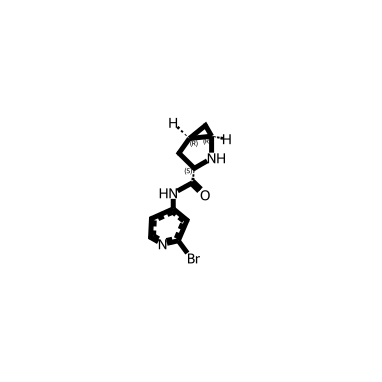 O=C(Nc1ccnc(Br)c1)[C@@H]1C[C@H]2C[C@H]2N1